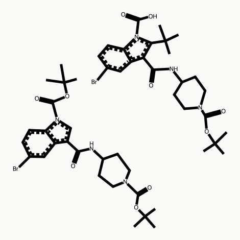 CC(C)(C)OC(=O)N1CCC(NC(=O)c2c(C(C)(C)C)n(C(=O)O)c3ccc(Br)cc23)CC1.CC(C)(C)OC(=O)N1CCC(NC(=O)c2cn(C(=O)OC(C)(C)C)c3ccc(Br)cc23)CC1